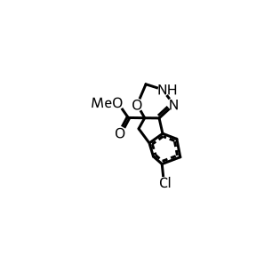 COC(=O)C12Cc3cc(Cl)ccc3C1=NNCO2